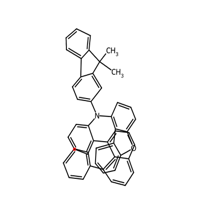 CC1(C)c2ccccc2-c2ccc(N(c3ccccc3-c3cccc4cccc(-c5ccccc5)c34)c3cccc4oc5ccccc5c34)cc21